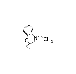 CCN1CC2(CC2)Oc2ccccc21